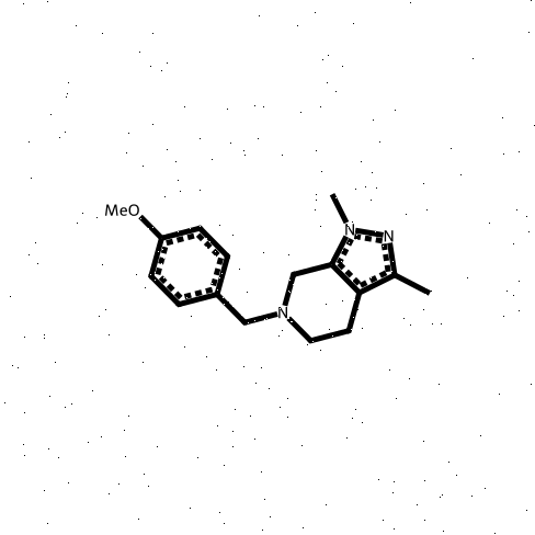 COc1ccc(CN2CCc3c(C)nn(C)c3C2)cc1